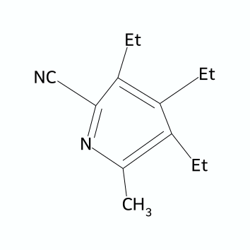 CCc1c(C)nc(C#N)c(CC)c1CC